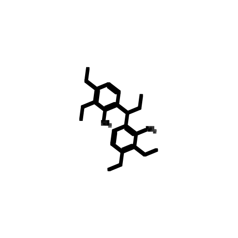 CCc1ccc(C(CC)c2ccc(CC)c(CC)c2N)c(N)c1CC